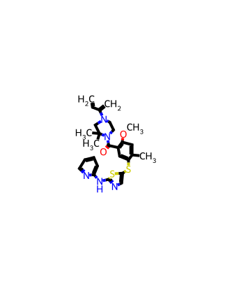 C=CC(=C)N1CCN(C(=O)c2cc(Sc3cnc(Nc4ccccn4)s3)c(C)cc2OC)C(C)(C)C1